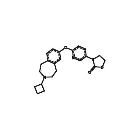 O=C1OCCN1c1ccc(Oc2ccc3c(c2)CCN(C2CCC2)CC3)nc1